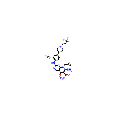 COc1cc(C2CCN(CCC(F)(F)F)CC2)ccc1Nc1ncc2c(=O)c(C(N)=O)c(N)n(CC3CC3)c2n1